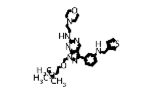 C[Si](C)(C)CCOCn1nc(-c2cccc(NCc3ccsc3)c2)c2cnc(NCCN3CCOCC3)nc21